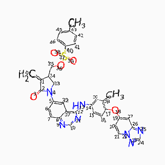 C=C1C(=O)N(c2ccc3ncnc(Nc4ccc(Oc5ccn6ncnc6c5)c(C)c4)c3c2)CC1COS(=O)(=O)c1ccc(C)cc1